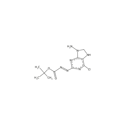 CC(C)(C)OC(=O)N=Nc1nc(Cl)c2c(n1)N(N)CN2